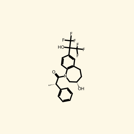 C[C@H](C(=O)N1C[C@@H](O)CCc2cc(C(O)(C(F)(F)F)C(F)(F)F)ccc21)c1ccccc1